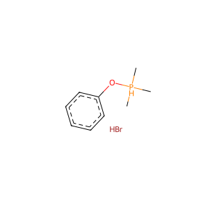 Br.C[PH](C)(C)Oc1ccccc1